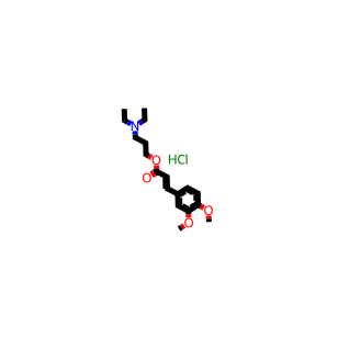 CCN(CC)CCCOC(=O)C=Cc1ccc(OC)c(OC)c1.Cl